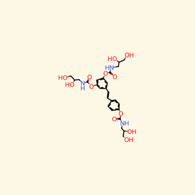 O=C(NCC(O)CO)Oc1ccc(/C=C/c2cc(OC(=O)NCC(O)CO)cc(OC(=O)NCC(O)CO)c2)cc1